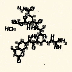 Cc1cc(=O)oc2cc(NC(=O)[C@H](CCCNC(=N)N)NC(=O)[C@H](C)NC(=O)[C@H](CCC(N)=O)NC(=O)OC(C)(C)C)ccc12.Cl